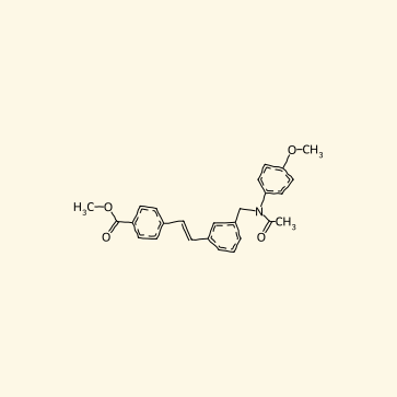 COC(=O)c1ccc(C=Cc2cccc(CN(C(C)=O)c3ccc(OC)cc3)c2)cc1